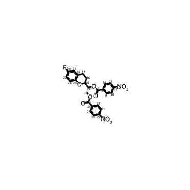 O=C(OC[C@@H](OC(=O)c1ccc([N+](=O)[O-])cc1)C1CCc2cc(F)ccc2O1)c1ccc([N+](=O)[O-])cc1